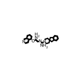 N/C(=C\N=C(/N)N1CCC2(CC1)Cc1ccccc1C2)Oc1cccc2cnccc12